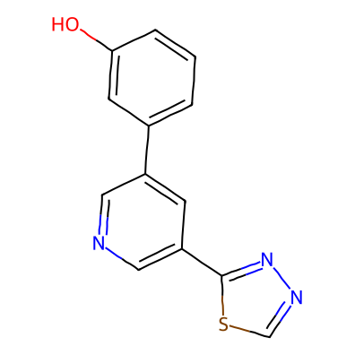 Oc1cccc(-c2cncc(-c3nncs3)c2)c1